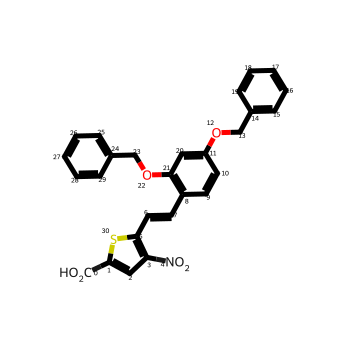 O=C(O)c1cc([N+](=O)[O-])c(/C=C/c2ccc(OCc3ccccc3)cc2OCc2ccccc2)s1